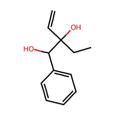 C=CC(O)(CC)C(O)c1ccccc1